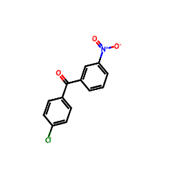 O=C(c1ccc(Cl)cc1)c1cccc([N+](=O)[O-])c1